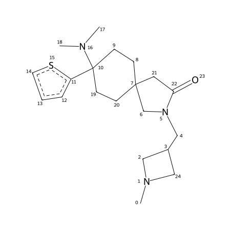 CN1CC(CN2CC3(CCC(c4cccs4)(N(C)C)CC3)CC2=O)C1